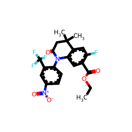 CCOC(=O)c1cc2c(cc1F)C(C)(C)CC(=O)N2c1ccc([N+](=O)[O-])cc1C(F)(F)F